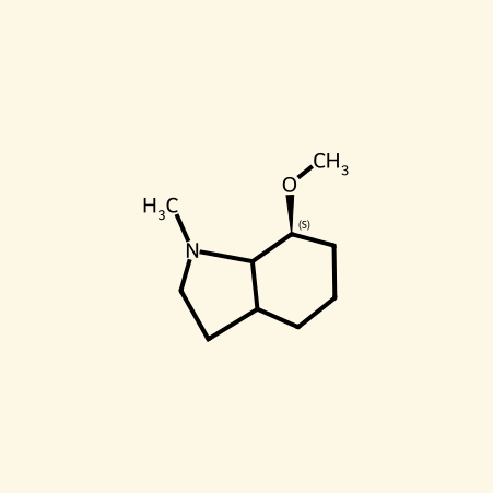 CO[C@H]1CCCC2CCN(C)C21